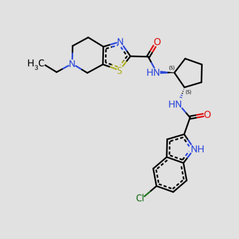 CCN1CCc2nc(C(=O)N[C@H]3CCC[C@@H]3NC(=O)c3cc4cc(Cl)ccc4[nH]3)sc2C1